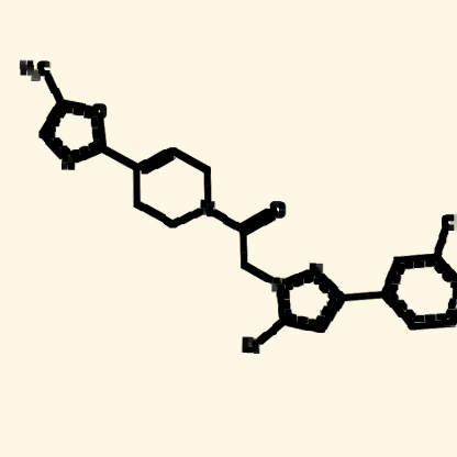 CCc1cc(-c2cccc(Cl)c2)nn1CC(=O)N1CC=C(c2ncc(C)o2)CC1